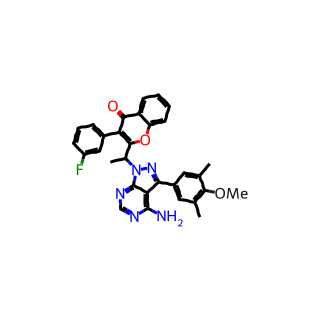 COc1c(C)cc(-c2nn(C(C)c3oc4ccccc4c(=O)c3-c3cccc(F)c3)c3ncnc(N)c23)cc1C